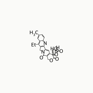 CCc1c2c(nc3ccc(C)cc13)-c1cc3c(c(=O)n1C2)COC(=O)[C@@]3(CC)O[PH](=O)O